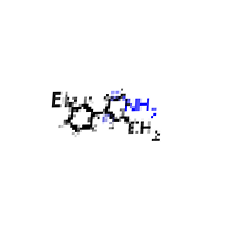 C=C/C=C(\C=C/N)c1cccc(CC)c1